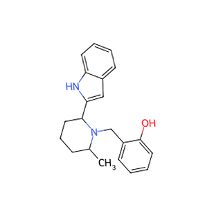 CC1CCCC(c2cc3ccccc3[nH]2)N1Cc1ccccc1O